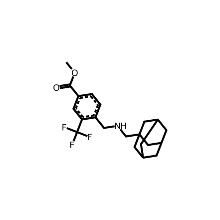 COC(=O)c1ccc(CNCC23CC4CC(CC(C4)C2)C3)c(C(F)(F)F)c1